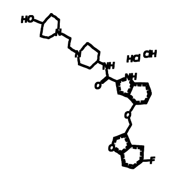 Cl.Cl.O=C(NC1CCN(CCN2CCC(O)CC2)CC1)c1cc2c(OCc3coc4ccc(F)cc34)cccc2[nH]1